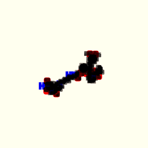 CCC(C)(C)C(=O)C(=O)N1CCCCC1C(=O)C[C@H](CCc1ccc(OC)c(OC)c1)c1cccc(OCC(=O)NCCCCCCN2CCC(C(=O)N(C)C3CCC(=O)NC3=O)CC2)c1